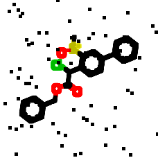 C[S+]([O-])c1cc(-c2ccccc2)ccc1C(Cl)C(=O)OCc1ccccc1